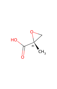 C[C@]1(C(=O)O)CO1